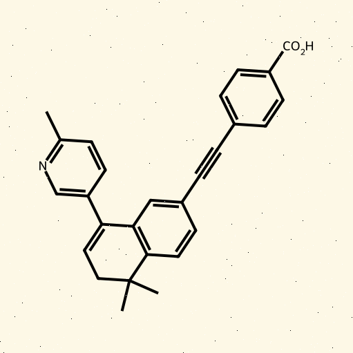 Cc1ccc(C2=CCC(C)(C)c3ccc(C#Cc4ccc(C(=O)O)cc4)cc32)cn1